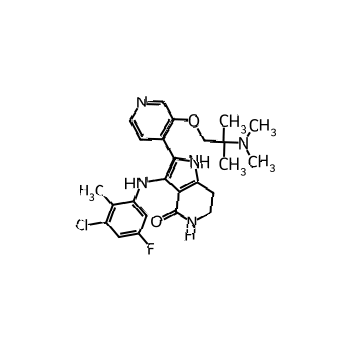 Cc1c(Cl)cc(F)cc1Nc1c(-c2ccncc2OCC(C)(C)N(C)C)[nH]c2c1C(=O)NCC2